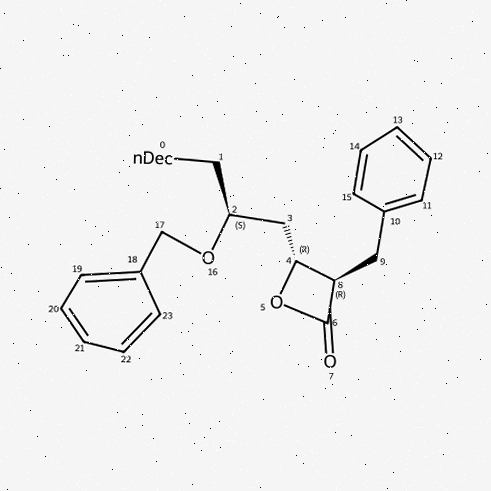 CCCCCCCCCCC[C@@H](C[C@H]1OC(=O)[C@@H]1Cc1ccccc1)OCc1ccccc1